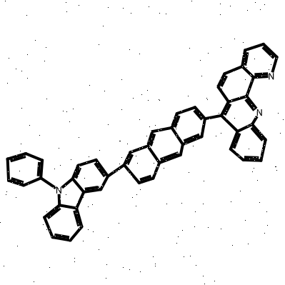 c1ccc(-n2c3ccccc3c3cc(-c4ccc5cc6cc(-c7c8ccccc8nc8c7ccc7cccnc78)ccc6cc5c4)ccc32)cc1